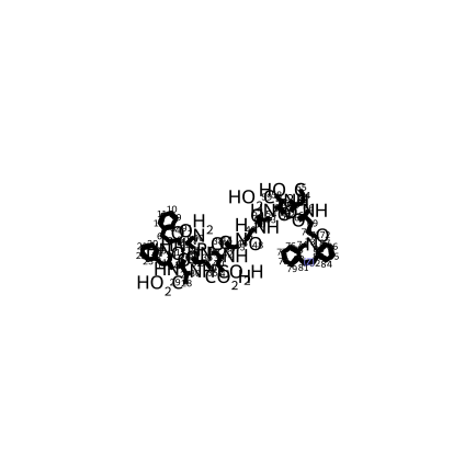 CC(C)C(NC(=O)C(Cc1ccccc1)NC(=O)C(Cc1ccccc1)NC(=O)C(CC(=O)O)NC(=O)C(CC(=O)O)NC(=O)C(CC(=O)O)NC(=O)CNC(=O)CNC(=O)CNC(=O)C(CC(=O)O)NC(=O)C(CC(=O)O)NC(=O)CCC(=O)N1Cc2ccccc2/C=C\c2ccccc21)C(N)=O